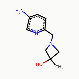 CC1(O)CN(Cc2ccc(N)cn2)C1